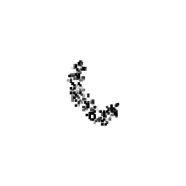 Cn1cc(N2CC3(CCN(c4ccc(OC5CCN(C6CCC6)CC5)nc4)CC3)OCC2=O)cn1